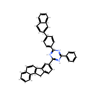 c1ccc(-c2nc(-c3ccc(-c4ccc5ccccc5c4)cc3)nc(-c3ccc4c(c3)-c3ccc5ccccc5c3C4)n2)cc1